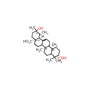 C[C@@H]1[C@H]2C3=CCC4[C@@](C)(CCC5C(C)(C)[C@@H](O)CC[C@@]54C)C3CC[C@@]2(C(=O)O)CC[C@]1(C)O